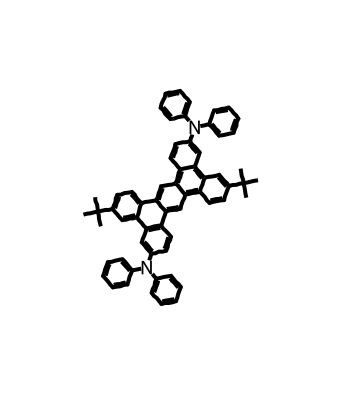 CC(C)(C)c1ccc2c(c1)c1cc(N(c3ccccc3)c3ccccc3)ccc1c1cc3c4ccc(C(C)(C)C)cc4c4cc(N(c5ccccc5)c5ccccc5)ccc4c3cc21